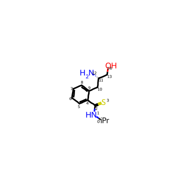 CC(C)NC(=S)c1ccccc1C[C@H](N)CO